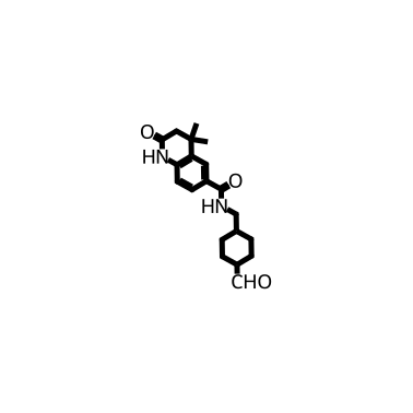 CC1(C)CC(=O)Nc2ccc(C(=O)NCC3CCC(C=O)CC3)cc21